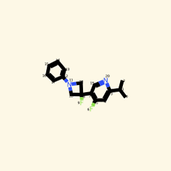 CC(C)c1cc(F)c(C2(F)CN(c3ccccc3)C2)cn1